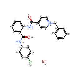 O=C(Nc1ccccc1C(=O)Nc1ccc(Cl)cc1)c1cc[n+](Cc2ccccc2)cc1.[Br-]